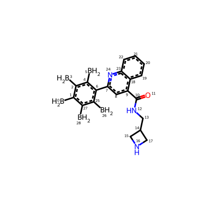 Bc1c(B)c(B)c(-c2cc(C(=O)NCC3CNC3)c3ccccc3n2)c(B)c1B